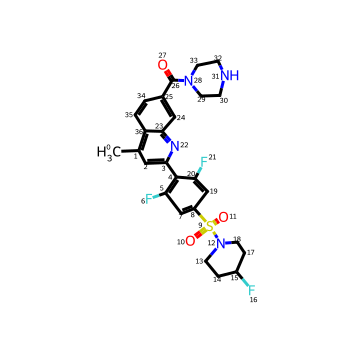 Cc1cc(-c2c(F)cc(S(=O)(=O)N3CCC(F)CC3)cc2F)nc2cc(C(=O)N3CCNCC3)ccc12